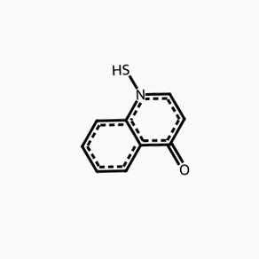 O=c1ccn(S)c2ccccc12